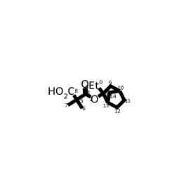 CCC1(OC(=O)C(C)(C)C(=O)O)CC2CCC1C2